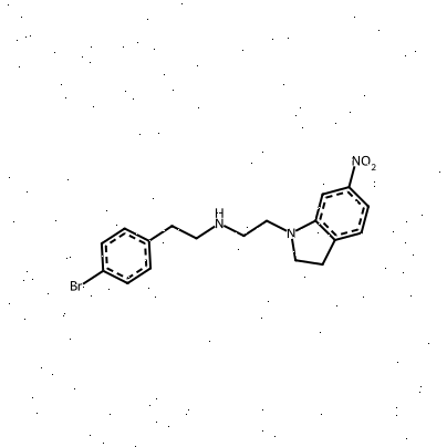 O=[N+]([O-])c1ccc2c(c1)N(CCNCCc1ccc(Br)cc1)CC2